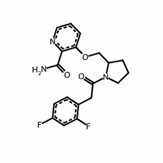 NC(=O)c1ncccc1OCC1CCCN1C(=O)Cc1ccc(F)cc1F